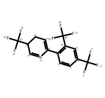 FC(F)(F)c1ccc(C2=CCC(C(F)(F)F)C=N2)c(C(F)(F)F)c1